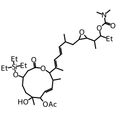 CCC(OC(=O)N(C)C)C(C)C1OC1CC(C)/C=C/C=C(\C)C1OC(=O)CC(O[Si](CC)(CC)CC)CCC(C)(O)C(OC(C)=O)/C=C/C1C